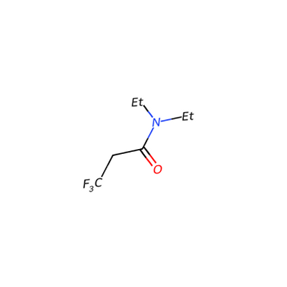 CCN(CC)C(=O)CC(F)(F)F